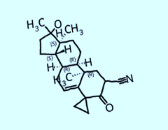 CC1(O)CC[C@H]2[C@@H]3CC=C4C5(CC5)C(=O)C(C#N)C[C@]4(C)[C@@H]3CC[C@@]21C